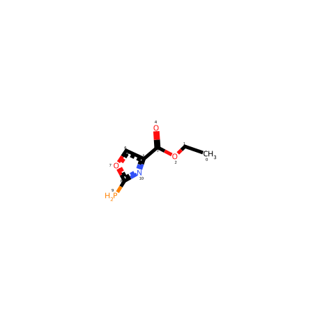 CCOC(=O)c1coc(P)n1